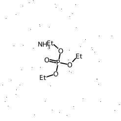 CCOP(=O)(OCC)OCC.N